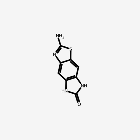 Nc1nc2cc3[nH]c(=O)[nH]c3cc2s1